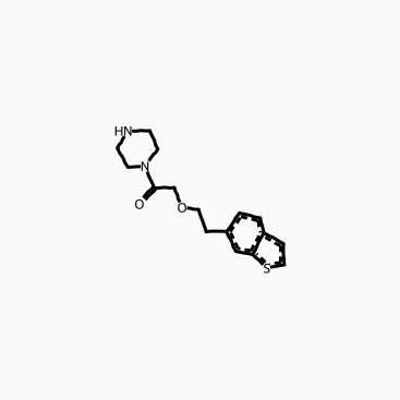 O=C(COCCc1ccc2ccsc2c1)N1CCNCC1